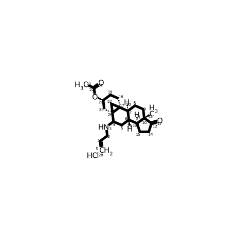 C=CCNC1C[C@@H]2[C@H](CC[C@]3(C)C(=O)CC[C@@H]23)[C@@]23CC[C@H](OC(C)=O)C[C@@]12C3.Cl